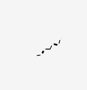 ON=NCN=NO